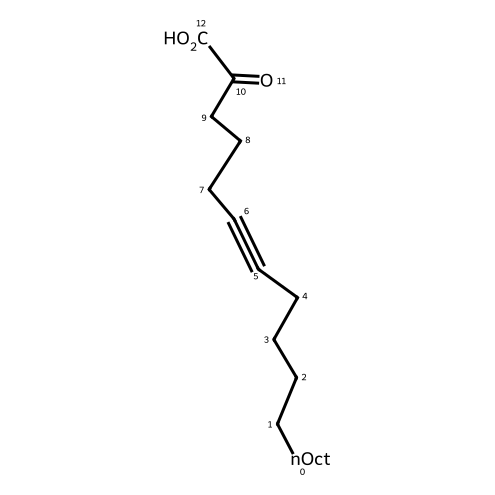 CCCCCCCCCCCCC#CCCCC(=O)C(=O)O